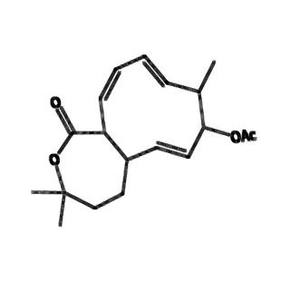 CC(=O)OC1/C=C/C2CCC(C)(C)OC(=O)C2/C=C\C=C\C1C